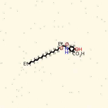 CCC=CCC=CCC=CCCCCCCCCOC(CC)C(=O)Nc1ccc(O)c(C(=O)O)c1